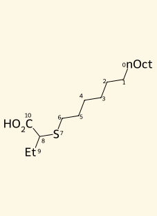 CCCCCCCCCCCCCCSC(CC)C(=O)O